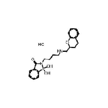 Cl.O=C1c2ccccc2S(O)(O)N1CCCCNCC1CCc2ccccc2O1